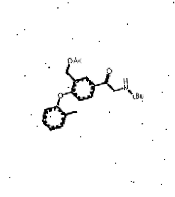 CC(=O)OCc1cc(C(=O)CNC(C)(C)C)ccc1Oc1ccccc1C